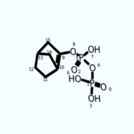 O=P(O)(O)OP(=O)(O)OC1=C2CCC(C2)C1